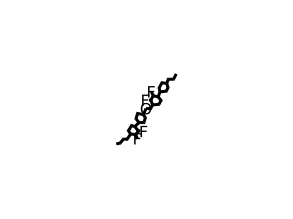 CCCCC1CCC(C2CCC(OCC3CCC(C4CCC(CCC)CC4)C(F)C3F)CC2)C(F)C1F